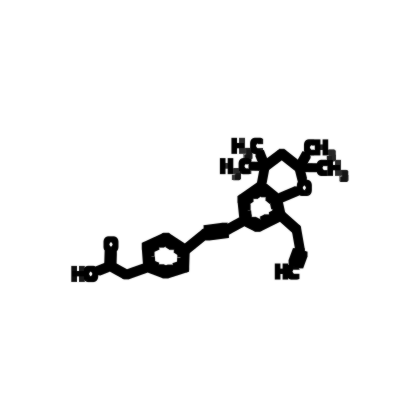 C#CCc1cc(C#Cc2ccc(CC(=O)O)cc2)cc2c1OC(C)(C)CC2(C)C